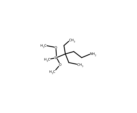 CCC(CC)(CCN)[Si](C)(OC)OC